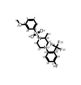 COc1cccc(S(=O)(=O)N2CCN(c3ccc(F)cc3C(F)(F)F)CC2C)c1